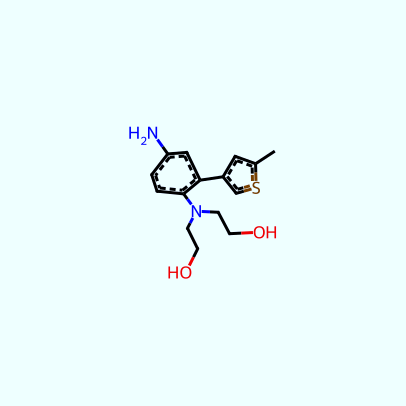 Cc1cc(-c2cc(N)ccc2N(CCO)CCO)cs1